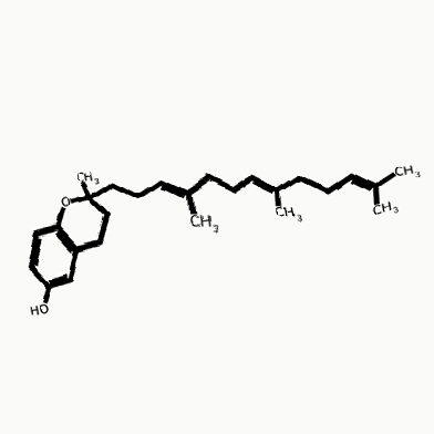 CC(C)=CCC/C(C)=C/CC/C(C)=C/CCC1(C)CCc2cc(O)ccc2O1